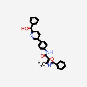 O=C(Nc1ccc(-c2ccc(C(O)c3ccccc3)nc2)cc1)c1oc(-c2ccccc2)nc1C(F)(F)F